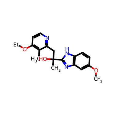 CCOc1ccnc(CC(C)(O)c2nc3cc(OC(F)(F)F)ccc3[nH]2)c1C